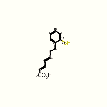 O=C(O)C=CC=CCCc1ccccc1S